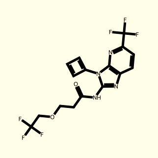 O=C(CCOCC(F)(F)F)Nc1nc2ccc(C(F)(F)F)nc2n1C1=CC=C1